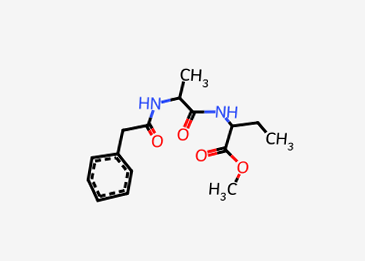 CCC(NC(=O)C(C)NC(=O)Cc1ccccc1)C(=O)OC